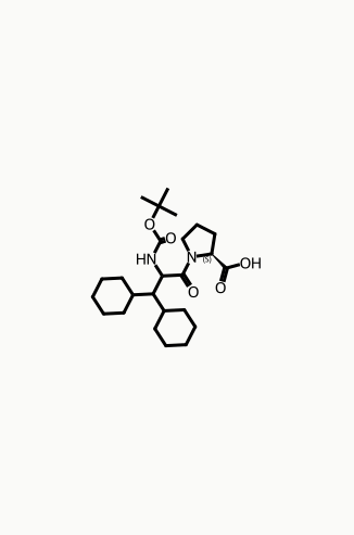 CC(C)(C)OC(=O)NC(C(=O)N1CCC[C@H]1C(=O)O)C(C1CCCCC1)C1CCCCC1